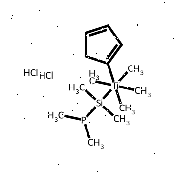 CP(C)[Si](C)(C)[Ti]([CH3])([CH3])([CH3])([CH3])[C]1=CC=CC1.Cl.Cl